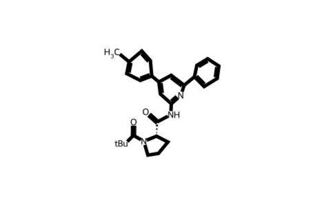 Cc1ccc(-c2cc(NC(=O)[C@@H]3CCCN3C(=O)C(C)(C)C)nc(-c3ccccc3)c2)cc1